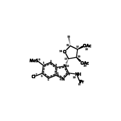 CSc1cc2c(cc1Cl)nc(NC(C)C)n2[C@@H]1O[C@H](C)[C@@H](OC(C)=O)[C@H]1OC(C)=O